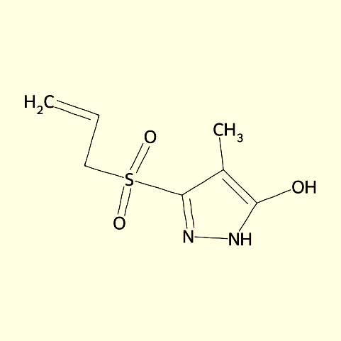 C=CCS(=O)(=O)c1n[nH]c(O)c1C